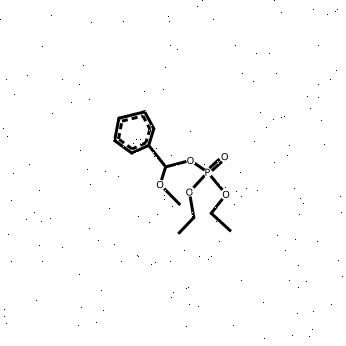 CCOP(=O)(OCC)OC(OC)c1ccccc1